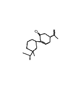 C=C(C)C1CC=C(C2CCCC(C)(C(C)C)C2)C(=O)C1